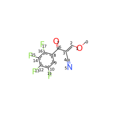 CO/C=C(\C#N)C(=O)c1cc(F)c(F)c(F)c1F